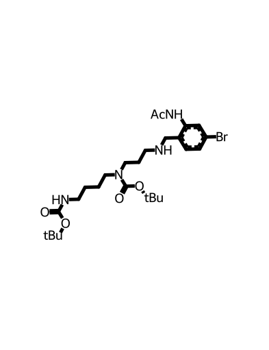 CC(=O)Nc1cc(Br)ccc1CNCCCN(CCCCNC(=O)OC(C)(C)C)C(=O)OC(C)(C)C